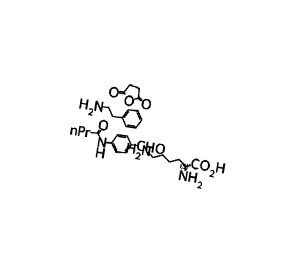 CCCC(=O)Nc1ccc(C=O)cc1.NCCCC[C@H](N)C(=O)O.NCCc1ccccc1.O=C1CCC(=O)O1